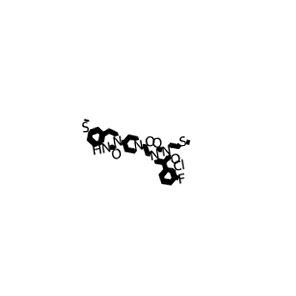 CSCCn1c(=O)c(-c2cccc(F)c2Cl)cn(CC(=O)N2CCC(N3CCc4cc(SC)ccc4NC3=O)CC2)c1=O